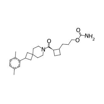 Cc1ccc(C)c(C2CC3(CCN(C(=O)[C@@H]4CCC4CCCOC(N)=O)CC3)C2)c1